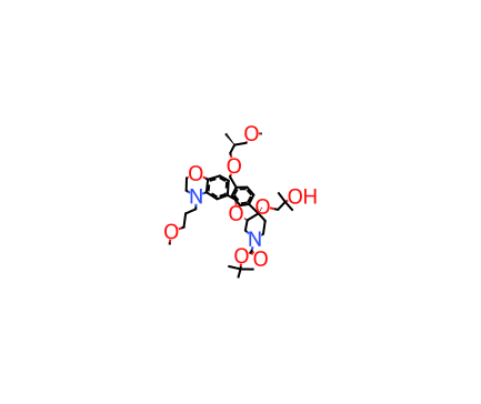 COCCCN1CCOc2ccc(CO[C@H]3CN(C(=O)OC(C)(C)C)CC[C@]3(OCC(C)(C)O)c3ccc(COC[C@@H](C)COC)cc3)cc21